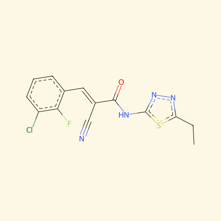 CCc1nnc(NC(=O)/C(C#N)=C/c2cccc(Cl)c2F)s1